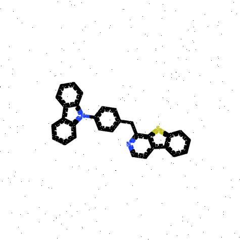 c1ccc2c(c1)sc1c(Cc3ccc(-n4c5ccccc5c5ccccc54)cc3)nccc12